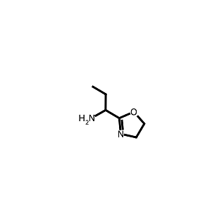 CCC(N)C1=NCCO1